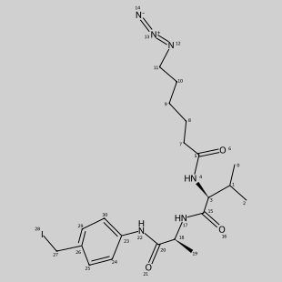 CC(C)[C@H](NC(=O)CCCCCN=[N+]=[N-])C(=O)N[C@@H](C)C(=O)Nc1ccc(CI)cc1